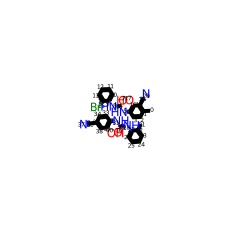 Cc1ccc(NC(=O)Nc2ccccc2Br)c(O)c1C#N.Cc1ccccc1NC(=O)Nc1ccc(C#N)cc1O